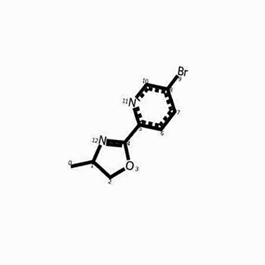 CC1COC(c2ccc(Br)cn2)=N1